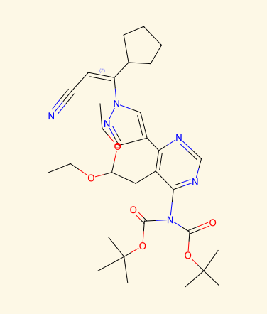 CCOC(Cc1c(-c2cnn(/C(=C\C#N)C3CCCC3)c2)ncnc1N(C(=O)OC(C)(C)C)C(=O)OC(C)(C)C)OCC